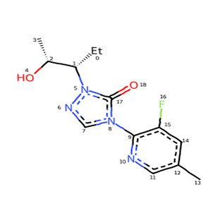 CC[C@@H]([C@@H](C)O)n1ncn(-c2ncc(C)cc2F)c1=O